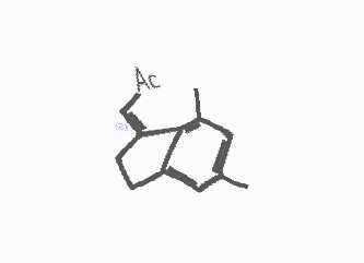 CC(=O)/C=C1/CCc2cc(C)cc(C)c21